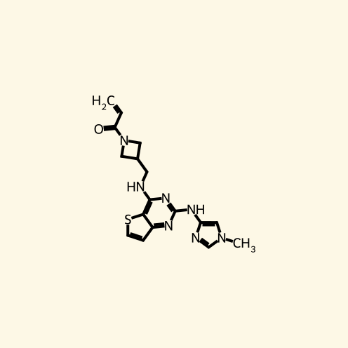 C=CC(=O)N1CC(CNc2nc(Nc3cn(C)cn3)nc3ccsc23)C1